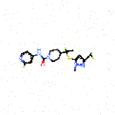 Cn1nc(C(F)F)cc1SC(C)(F)C1CCN(C(=O)Nc2ccnc(F)c2)CC1